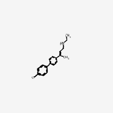 CCNCC=C(C)c1ccc(-c2ccc(Cl)cc2)cc1